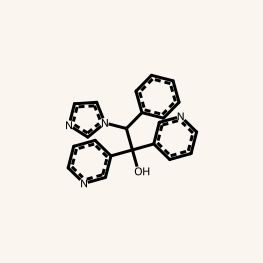 OC(c1cccnc1)(c1cccnc1)C(c1ccccc1)n1ccnc1